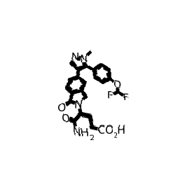 Cn1ncc(-c2ccc3c(c2)CN(C(CCC(=O)O)C(N)=O)C3=O)c1-c1ccc(OC(F)F)cc1